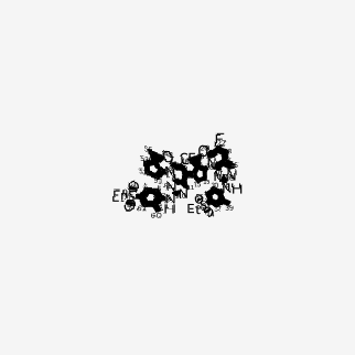 CCS(=O)(=O)c1ccc(Nc2ncc3c(C4CCC(n5c(=O)c(F)cc6cnc(Nc7ccc(S(=O)(=O)CC)cc7C)nc65)C45CC5)c(C(F)(F)F)c(=O)n(C4CCCC45CC5)c3n2)c(C)c1